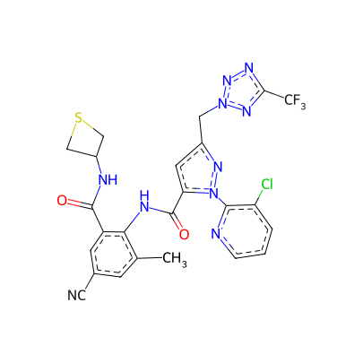 Cc1cc(C#N)cc(C(=O)NC2CSC2)c1NC(=O)c1cc(Cn2nnc(C(F)(F)F)n2)nn1-c1ncccc1Cl